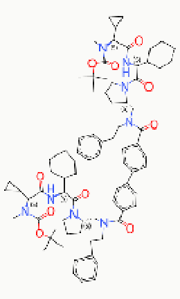 CN(C(=O)OC(C)(C)C)[C@H](C(=O)N[C@H](C(=O)N1CCC[C@H]1CN(CCc1ccccc1)C(=O)c1ccc(-c2ccc(C(=O)N(CCc3ccccc3)C[C@@H]3CCCN3C(=O)[C@@H](NC(=O)[C@H](C3CC3)N(C)C(=O)OC(C)(C)C)C3CCCCC3)cc2)cc1)C1CCCCC1)C1CC1